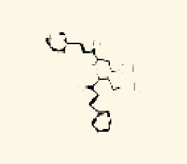 CCCC(OC(CCC)C(=O)C=Cc1ccccc1)C(=O)C=Cc1ccccc1